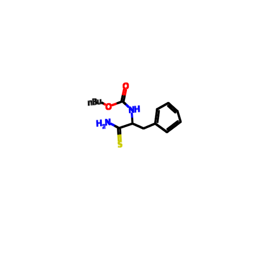 CCCCOC(=O)NC(Cc1ccccc1)C(N)=S